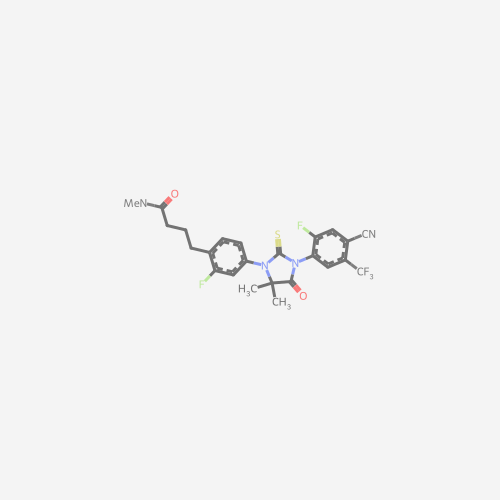 CNC(=O)CCCc1ccc(N2C(=S)N(c3cc(C(F)(F)F)c(C#N)cc3F)C(=O)C2(C)C)cc1F